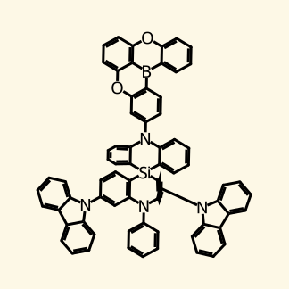 c1ccc(N2c3cc(-n4c5ccccc5c5ccccc54)ccc3[Si]3(c4ccccc4N(c4ccc5c(c4)Oc4cccc6c4B5c4ccccc4O6)c4ccccc43)c3ccc(-n4c5ccccc5c5ccccc54)cc32)cc1